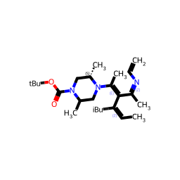 C=C\N=C(C)/C(C(=C\C)/C(C)CC)=C(\C)N1CC(C)N(C(=O)OC(C)(C)C)C[C@@H]1C